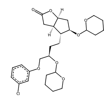 O=C1C[C@@H]2[C@@H](CC[C@H](COc3cccc(Cl)c3)OC3CCCCO3)[C@H](OC3CCCCO3)C[C@@H]2O1